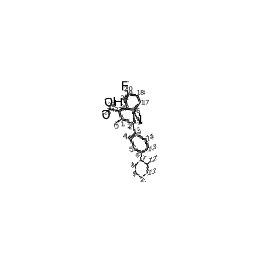 Cc1c(-c2ccc(C3CCCCC3)cc2)nc2ccc(F)cc2c1C(=O)O